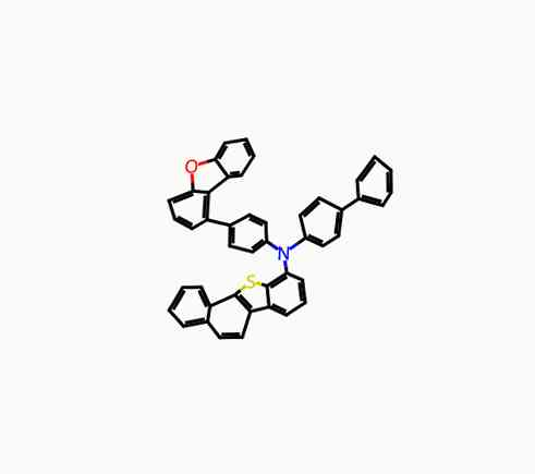 c1ccc(-c2ccc(N(c3ccc(-c4cccc5oc6ccccc6c45)cc3)c3cccc4c3sc3c5ccccc5ccc43)cc2)cc1